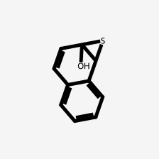 OC12C=Cc3ccccc3C1S2